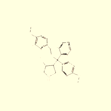 COc1ccc(COC(c2ccccc2)(c2ccc(OC)cc2)C2CNCC2O)cc1